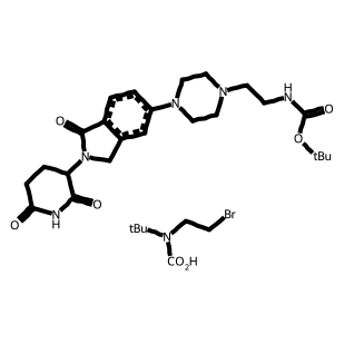 CC(C)(C)N(CCBr)C(=O)O.CC(C)(C)OC(=O)NCCN1CCN(c2ccc3c(c2)CN(C2CCC(=O)NC2=O)C3=O)CC1